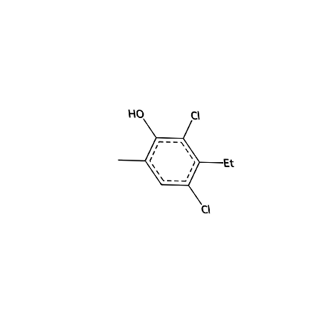 CCc1c(Cl)cc(C)c(O)c1Cl